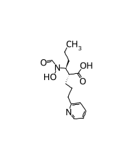 CCC[C@@H]([C@@H](CCCc1ccccn1)C(=O)O)N(O)C=O